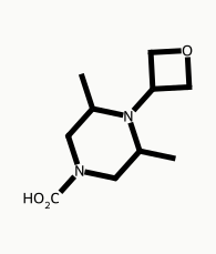 CC1CN(C(=O)O)CC(C)N1C1COC1